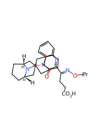 CC(C)ON=C(CCC(=O)O)c1nc2ccccc2n([C@H]2C[C@H]3CCC[C@@H](C2)N3C2CC3CCCC(C3)C2)c1=O